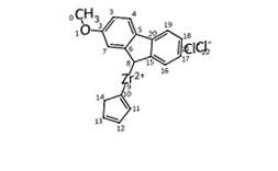 COc1ccc2c(c1)[CH]([Zr+2][C]1=CC=CC1)c1ccccc1-2.[Cl-].[Cl-]